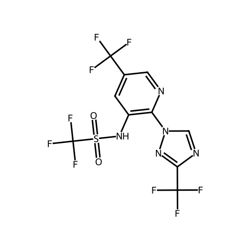 O=S(=O)(Nc1cc(C(F)(F)F)cnc1-n1cnc(C(F)(F)F)n1)C(F)(F)F